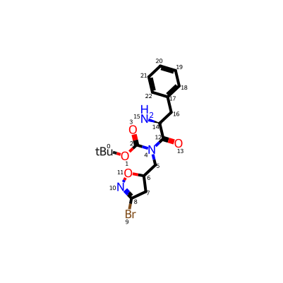 CC(C)(C)OC(=O)N(CC1CC(Br)=NO1)C(=O)[C@@H](N)Cc1ccccc1